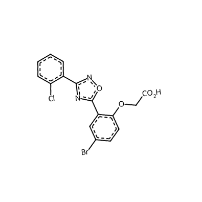 O=C(O)COc1ccc(Br)cc1-c1nc(-c2ccccc2Cl)no1